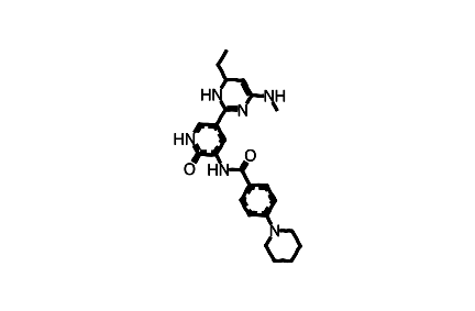 CCC1C=C(NC)N=C(c2c[nH]c(=O)c(NC(=O)c3ccc(N4CCCCC4)cc3)c2)N1